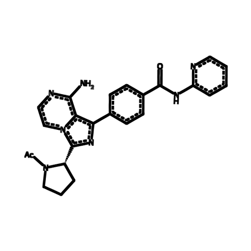 [CH2]C(=O)N1CCC[C@H]1c1nc(-c2ccc(C(=O)Nc3ccccn3)cc2)c2c(N)nccn12